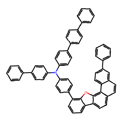 c1ccc(-c2ccc(-c3ccc(N(c4ccc(-c5ccccc5)cc4)c4ccc(-c5cccc6c5oc5c6ccc6ccc7cc(-c8ccccc8)ccc7c65)cc4)cc3)cc2)cc1